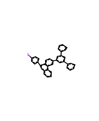 Ic1ccc(-c2cc3ccccc3c3cc(-c4cc(-c5ccccc5)cc(-c5ccccc5)c4)ccc23)cc1